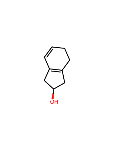 O[C@H]1CC2=C(CCC=C2)C1